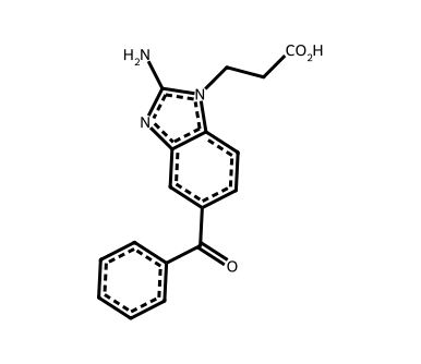 Nc1nc2cc(C(=O)c3ccccc3)ccc2n1CCC(=O)O